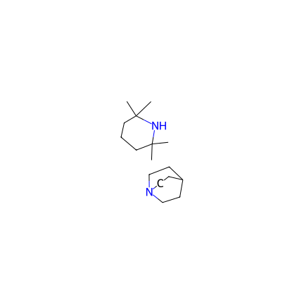 C1CN2CCC1CC2.CC1(C)CCCC(C)(C)N1